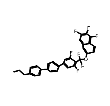 CCCc1ccc(-c2ccc(-c3cc(F)c(C(F)(F)Oc4ccc5c(F)c(F)c(F)cc5c4)c(F)c3)cc2)cc1